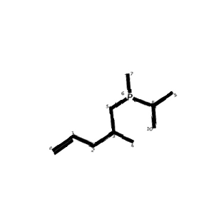 C=CCC(C)CP(C)C(C)C